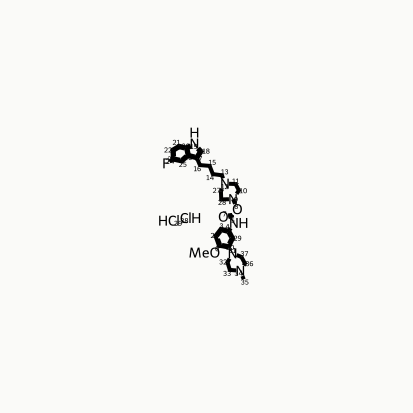 COc1ccc(NC(=O)ON2CCN(CCCCc3c[nH]c4ccc(F)cc34)CC2)cc1N1CCN(C)CC1.Cl.Cl